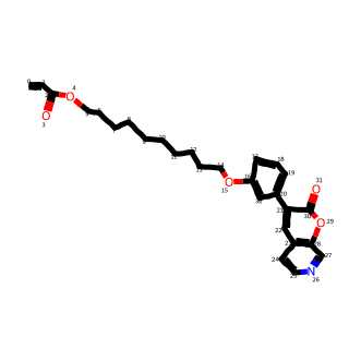 C=CC(=O)OCCCCCCCCCCOc1cccc(-c2cc3ccncc3oc2=O)c1